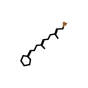 C/C(=C\CC/C(C)=C/CBr)CCC=C1CCCCC1